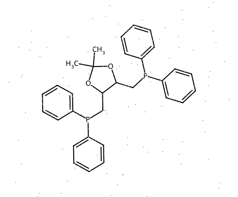 CC1(C)OC([CH]P(c2ccccc2)c2ccccc2)C(CP(c2ccccc2)c2ccccc2)O1